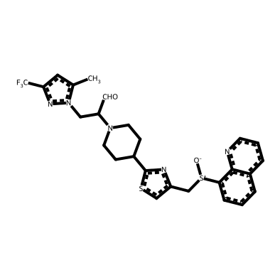 Cc1cc(C(F)(F)F)nn1CC(C=O)N1CCC(c2nc(C[S+]([O-])c3cccc4cccnc34)cs2)CC1